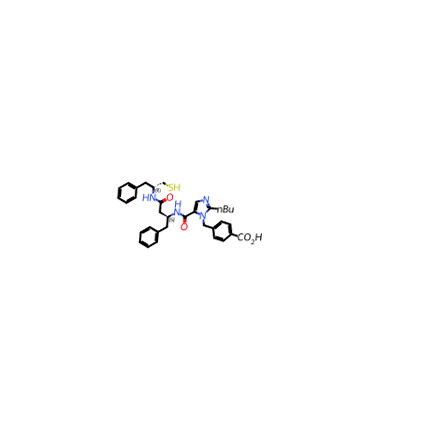 CCCCc1ncc(C(=O)N[C@H](CC(=O)N[C@@H](CS)Cc2ccccc2)Cc2ccccc2)n1Cc1ccc(C(=O)O)cc1